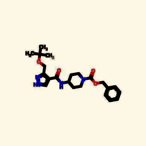 CC(C)(C)OCc1n[nH]cc1C(=O)NC1CCN(C(=O)OCc2ccccc2)CC1